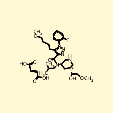 COCCCCc1c(C(=O)N(CC(C)C)[C@@H]2CNC[C@H](C(O)COC)C2)nnn1-c1ccccc1F.O=C(O)C=CC(=O)O